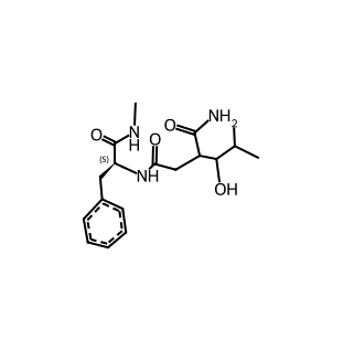 CNC(=O)[C@H](Cc1ccccc1)NC(=O)CC(C(N)=O)C(O)C(C)C